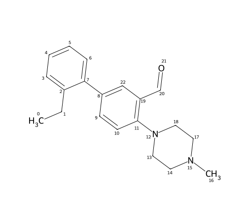 CCc1ccccc1-c1ccc(N2CCN(C)CC2)c(C=O)c1